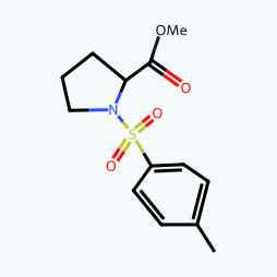 COC(=O)C1CCCN1S(=O)(=O)c1ccc(C)cc1